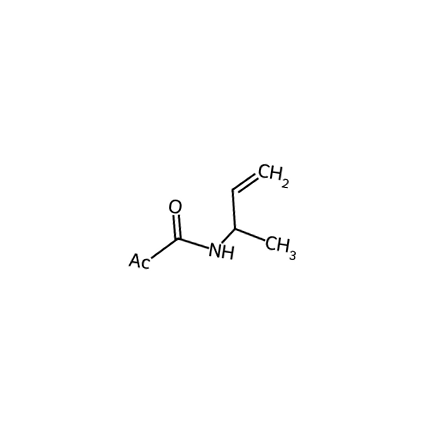 C=CC(C)NC(=O)C(C)=O